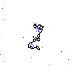 CC(c1ccccc1)(c1ccc(-c2ccc3ccc4ccc(-c5ccccc5)nc4c3n2)cc1)c1ccc(-c2ccc3ccc4ccc(-c5ccccc5)nc4c3n2)cc1